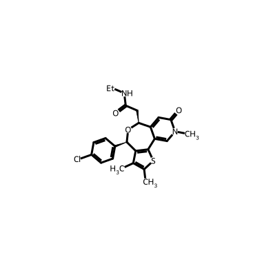 CCNC(=O)C[C@@H]1O[C@H](c2ccc(Cl)cc2)c2c(sc(C)c2C)-c2cn(C)c(=O)cc21